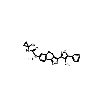 N#CC1(NC(=O)[C@@H](O)c2ccc3c(c2)CCc2c-3noc2-c2noc(-c3ccccc3)c2C(F)(F)F)CC1